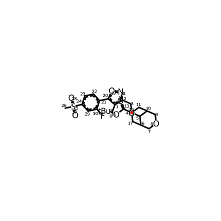 Cc1c(COC2C3COCC2CN(C(=O)OC(C)(C)C)C3)noc1-c1ccc(S(C)(=O)=O)cc1F